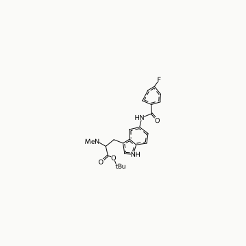 CNC(Cc1c[nH]c2ccc(NC(=O)c3ccc(F)cc3)cc12)C(=O)OC(C)(C)C